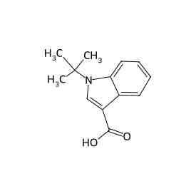 CC(C)(C)n1cc(C(=O)O)c2ccccc21